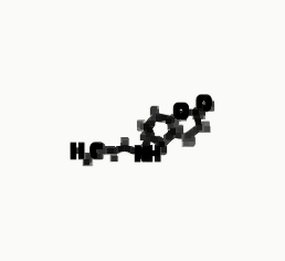 C=CCNc1ccc2c(c1)CCC(=O)O2